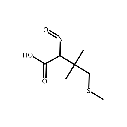 CSCC(C)(C)C(N=O)C(=O)O